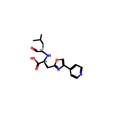 CC(C)C[C@@H](C=O)N[C@@H](Cc1nc(-c2ccncc2)co1)C(=O)O